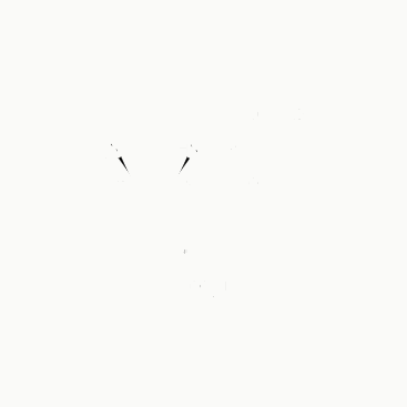 CC(C)(C)OC(=O)N[C@H]1C[C@H](C(=O)O)CC[C@H]1N